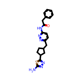 Nc1nnc(C2CCC(Cc3ccc(NC(=O)Cc4ccccc4)nn3)C2)s1